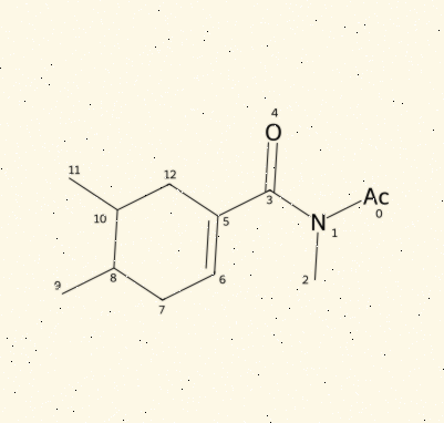 CC(=O)N(C)C(=O)C1=CCC(C)C(C)C1